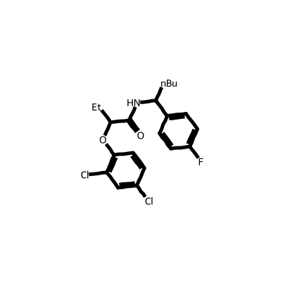 CCCCC(NC(=O)C(CC)Oc1ccc(Cl)cc1Cl)c1ccc(F)cc1